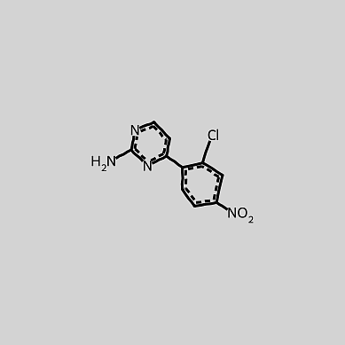 Nc1nccc(-c2ccc([N+](=O)[O-])cc2Cl)n1